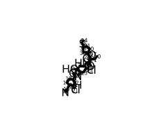 CCC(C(=O)Nc1cc(O)c(NC(=O)c2ccc(C#N)c(Cl)c2)cc1Cl)S(=O)(=O)c1ccc(SC)cc1